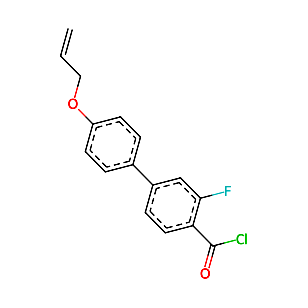 C=CCOc1ccc(-c2ccc(C(=O)Cl)c(F)c2)cc1